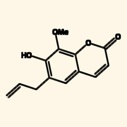 C=CCc1cc2ccc(=O)oc2c(OC)c1O